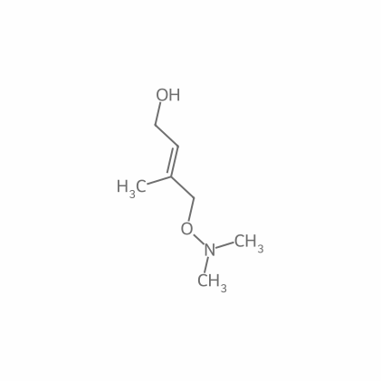 C/C(=C\CO)CON(C)C